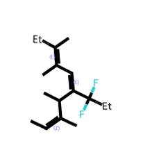 C/C=C(/C)C(C)/C(=C\C(C)=C(/C)CC)C(F)(F)CC